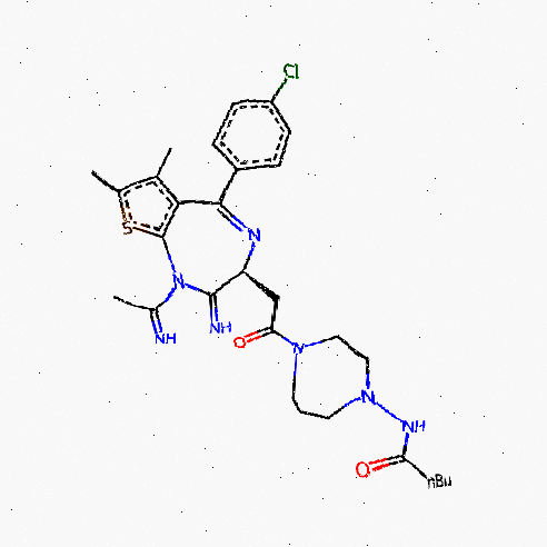 CCCCC(=O)NN1CCN(C(=O)C[C@@H]2N=C(c3ccc(Cl)cc3)c3c(sc(C)c3C)N(C(C)=N)C2=N)CC1